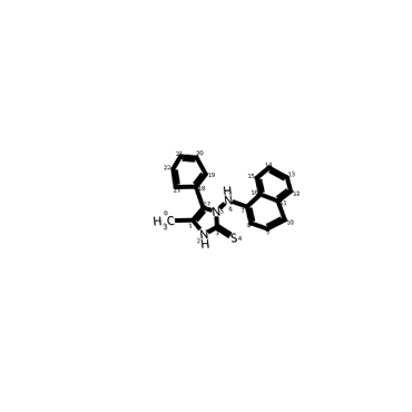 Cc1[nH]c(=S)n(Nc2cccc3ccccc23)c1-c1ccccc1